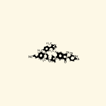 Cc1ccc(-c2c(C)noc2C)cc1N(CC(C)OC1CN(c2cc3c(cc2F)C(=O)N(C2CCC(=O)NC2=O)C3=O)C1)c1ccc(CCC#N)cc1